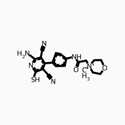 C[N+]1(CC(=O)Nc2ccc(-c3c(C#N)c(N)nc(S)c3C#N)cc2)CCOCC1